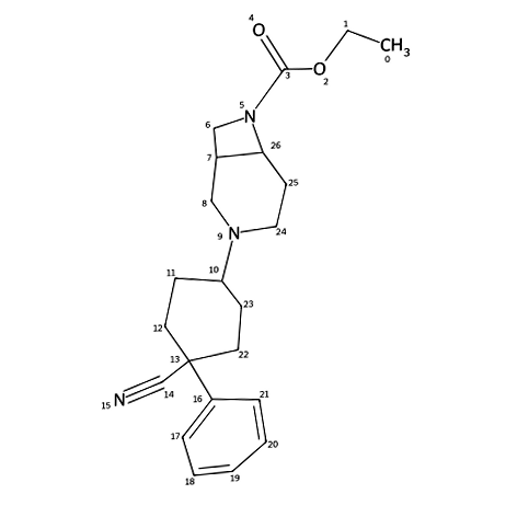 CCOC(=O)N1CC2CN(C3CCC(C#N)(c4ccccc4)CC3)CCC21